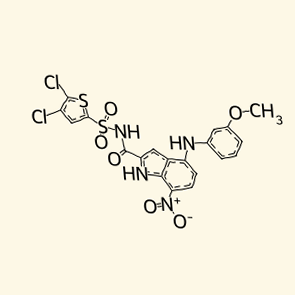 COc1cccc(Nc2ccc([N+](=O)[O-])c3[nH]c(C(=O)NS(=O)(=O)c4cc(Cl)c(Cl)s4)cc23)c1